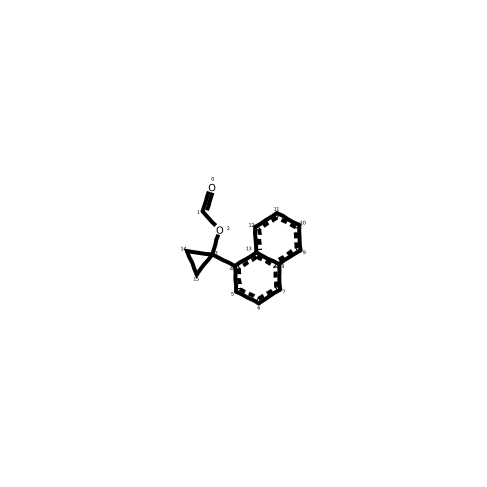 O=COC1(c2cccc3ccccc23)CC1